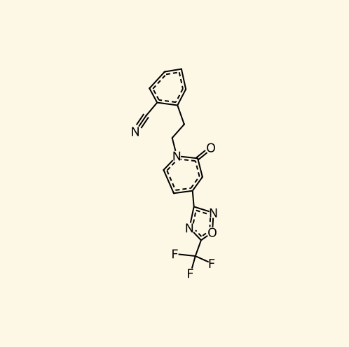 N#Cc1ccccc1CCn1ccc(-c2noc(C(F)(F)F)n2)cc1=O